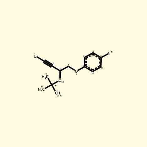 [Li][C]#CC(COc1ccc(F)cc1)OC(C)(C)C